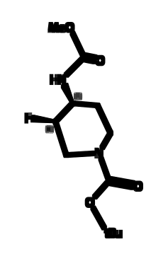 COC(=O)N[C@H]1CCN(C(=O)OC(C)(C)C)C[C@H]1F